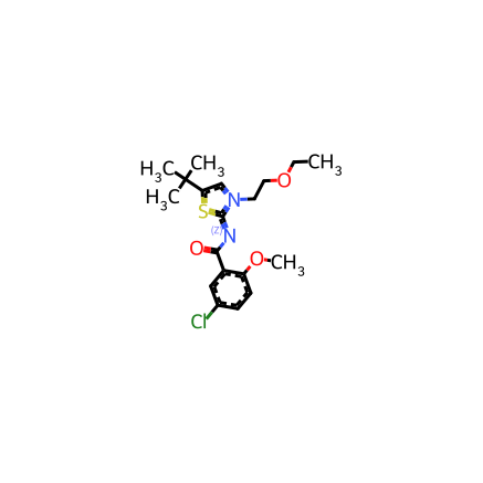 CCOCCn1cc(C(C)(C)C)s/c1=N\C(=O)c1cc(Cl)ccc1OC